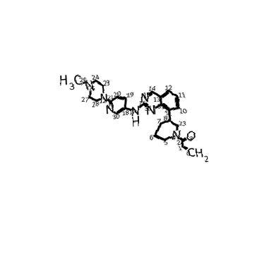 C=CC(=O)N1CCCC(c2cccc3cnc(Nc4ccc(N5CCN(C)CC5)nc4)nc23)C1